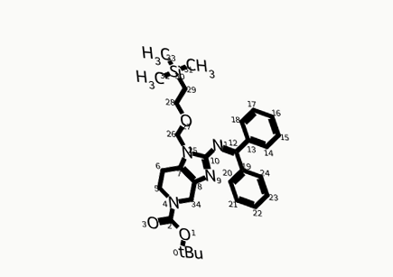 CC(C)(C)OC(=O)N1CCc2c(nc(N=C(c3ccccc3)c3ccccc3)n2COCC[Si](C)(C)C)C1